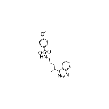 COc1ccc(S(=O)(=O)NCCCC(C)c2ncnc3ccccc23)cc1